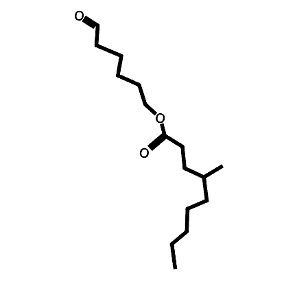 CCCCCC(C)CCC(=O)OCCCCCC=O